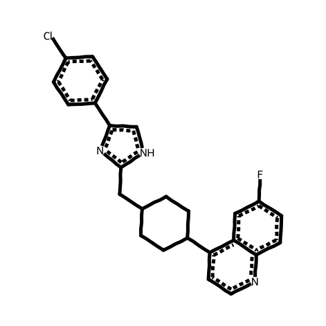 Fc1ccc2nccc(C3CCC(Cc4nc(-c5ccc(Cl)cc5)c[nH]4)CC3)c2c1